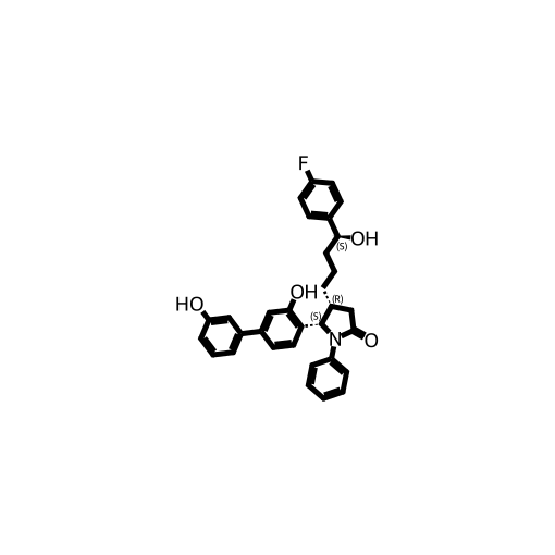 O=C1C[C@@H](CCC[C@H](O)c2ccc(F)cc2)[C@@H](c2ccc(-c3cccc(O)c3)cc2O)N1c1ccccc1